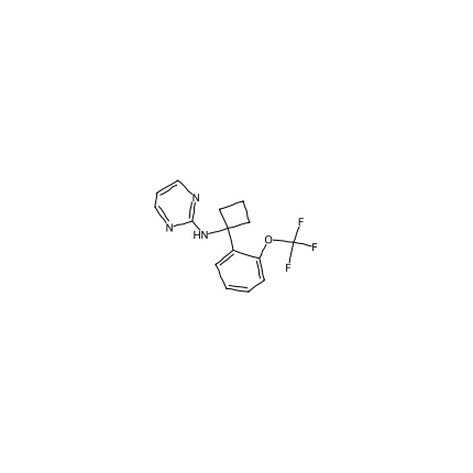 FC(F)(F)Oc1ccccc1C1(Nc2ncccn2)CCC1